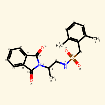 Cc1cccc(C)c1CS(=O)(=O)NCC(C)N1C(=O)c2ccccc2C1=O